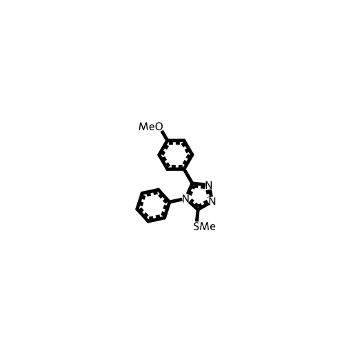 COc1ccc(-c2nnc(SC)n2-c2ccccc2)cc1